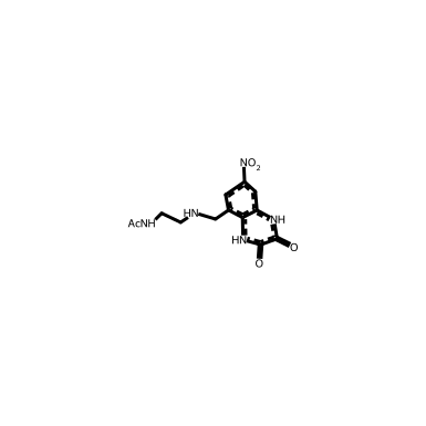 CC(=O)NCCNCc1cc([N+](=O)[O-])cc2[nH]c(=O)c(=O)[nH]c12